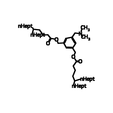 CCCCCCCC(CCCCCCC)CCCC(=O)OCc1cc(COC(=O)CCCC(CCCCCCC)CCCCCCC)cc(CN(C)C)c1